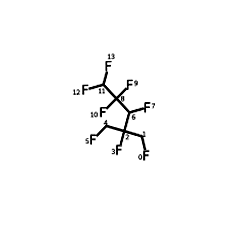 FCC(F)(CF)C(F)C(F)(F)C(F)F